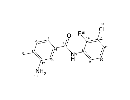 Cc1ccc(C(=O)Nc2cccc(Cl)c2F)cc1N